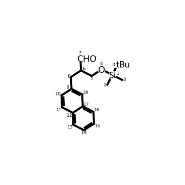 CC(C)(C)[Si](C)(C)OCC(C=O)Cc1ccc2ccccc2c1